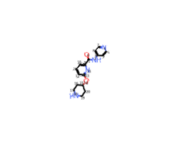 O=C(Nc1ccncc1)c1cccc(OC2CCNCC2)n1